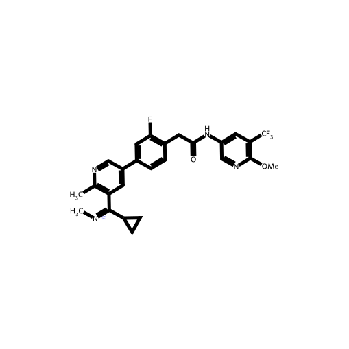 C/N=C(\c1cc(-c2ccc(CC(=O)Nc3cnc(OC)c(C(F)(F)F)c3)c(F)c2)cnc1C)C1CC1